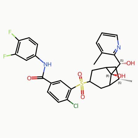 Cc1cccnc1[C@H](O)[C@@]1(O)C2CC(S(=O)(=O)c3cc(C(=O)Nc4ccc(F)c(F)c4)ccc3Cl)CC1[C@@H](C)C2